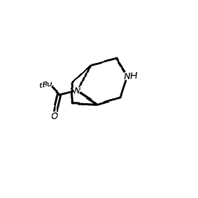 CC(C)(C)C(=O)N1C2CCC1CNC2